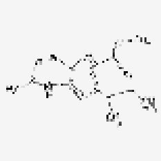 CCC(C)c1cc(NC(C)=O)c(Br)cc1C(=O)OC